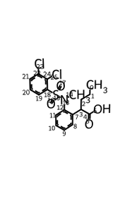 CCCC(C(=O)O)c1ccccc1N(C)S(=O)(=O)c1cccc(Cl)c1Cl